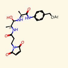 CC(=O)OCc1ccc(NC(=O)[C@H](C)NC(O)[C@H](C)NC(=O)CCN2C(=O)C=CC2=O)cc1